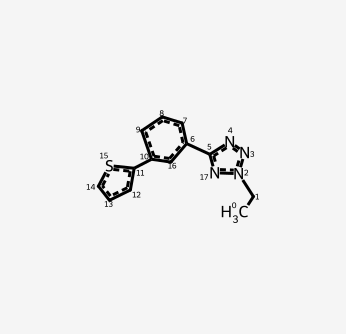 CCn1nnc(-c2cccc(-c3cccs3)c2)n1